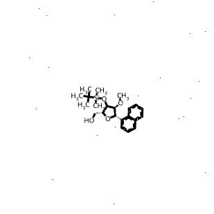 CO[C@@H]1C(O[Si](C)(C)C(C)(C)C)[C@@H](CO)O[C@H]1c1cccc2ccccc12